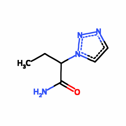 CCC(C(N)=O)n1ccnn1